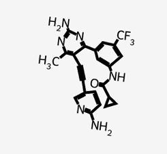 Cc1nc(N)nc(-c2cc(NC(=O)C3CC3)cc(C(F)(F)F)c2)c1C#Cc1ccc(N)nc1